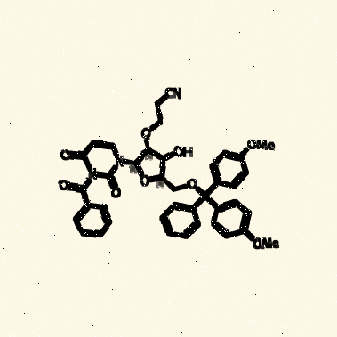 COc1ccc(C(OC[C@H]2O[C@@H](n3ccc(=O)n(C(=O)c4ccccc4)c3=O)[C@@H](OCCC#N)C2O)(c2ccccc2)c2ccc(OC)cc2)cc1